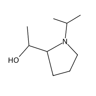 CC(O)C1CCCN1C(C)C